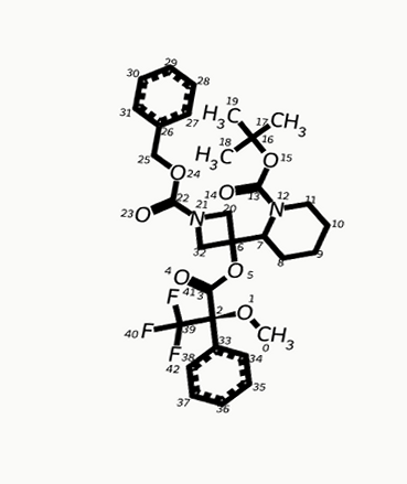 CO[C@@](C(=O)OC1(C2CCCCN2C(=O)OC(C)(C)C)CN(C(=O)OCc2ccccc2)C1)(c1ccccc1)C(F)(F)F